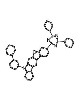 c1ccc(-c2cccc(-n3c4ccccc4c4cc5c(cc43)oc3cc(-c4nc(-c6ccccc6)nc(-c6ccccc6)n4)ccc35)c2)cc1